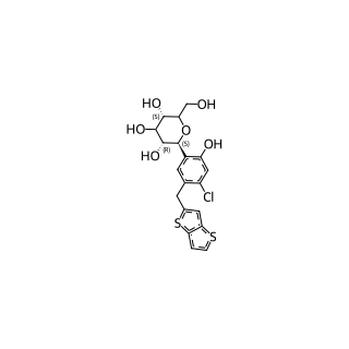 OCC1O[C@@H](c2cc(Cc3cc4sccc4s3)c(Cl)cc2O)[C@H](O)C(O)[C@@H]1O